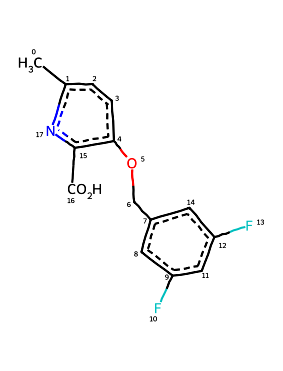 Cc1ccc(OCc2cc(F)cc(F)c2)c(C(=O)O)n1